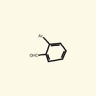 CC(=O)c1ccccc1C=O